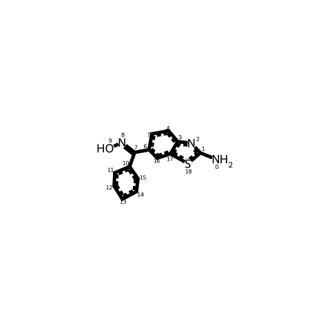 Nc1nc2ccc(/C(=N/O)c3ccccc3)cc2s1